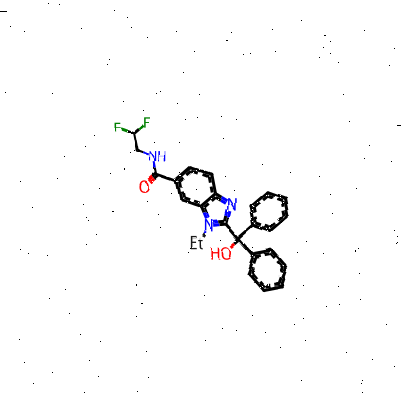 CCn1c(C(O)(c2ccccc2)c2ccccc2)nc2ccc(C(=O)NCC(F)F)cc21